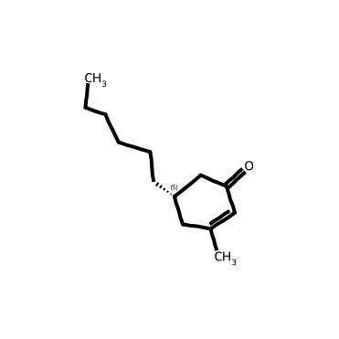 CCCCCC[C@@H]1CC(=O)C=C(C)C1